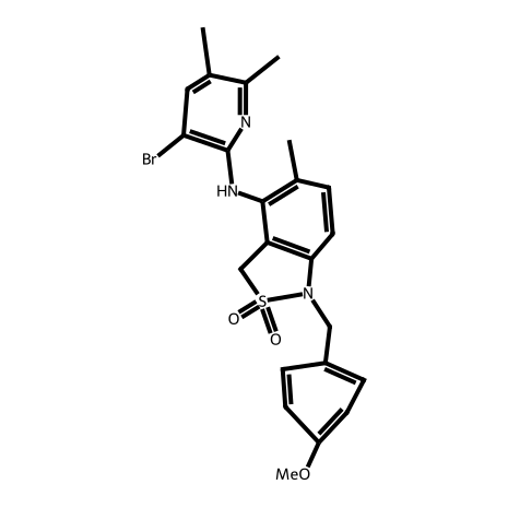 COc1ccc(CN2c3ccc(C)c(Nc4nc(C)c(C)cc4Br)c3CS2(=O)=O)cc1